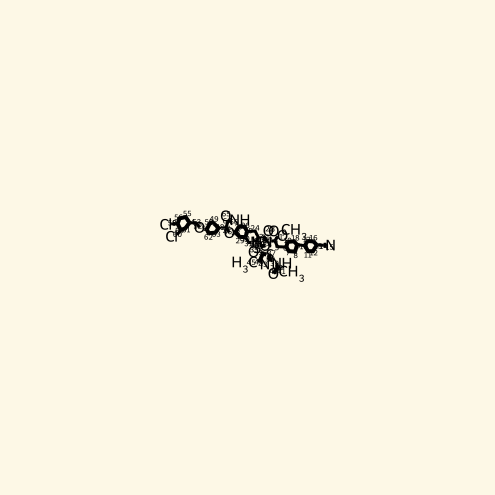 COC(=O)C(Cc1ccc(-c2ccc(C#N)cc2)cc1)NC(=O)[C@@H]1Cc2cc3c(cc2CN1S(=O)(=O)c1sc(NC(C)=O)nc1C)O[C@@H](c1ccc(OCc2ccc(Cl)c(Cl)c2)cc1)C(=O)N3